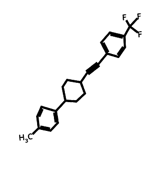 Cc1ccc(C2CCC(C#Cc3ccc(C(F)(F)F)cc3)CC2)cc1